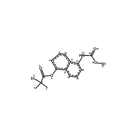 CCC(C)(C)C(=O)Oc1cccc2c(NC(=O)OS)cccc12